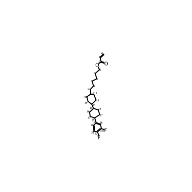 C=CC(=O)OCCCCCCC1CCC(C2CCC(c3ccc(F)c(F)c3)CC2)CC1